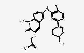 CC(=O)COc1cc2cc(Nc3nc(N4CCC(C)CC4)ncc3Cl)ccc2n(C)c1=O